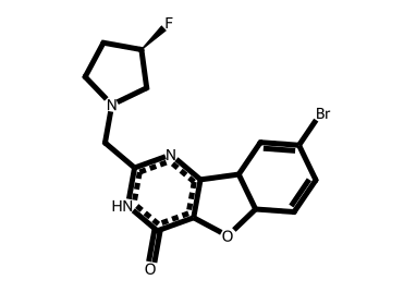 O=c1[nH]c(CN2CC[C@@H](F)C2)nc2c1OC1C=CC(Br)=CC21